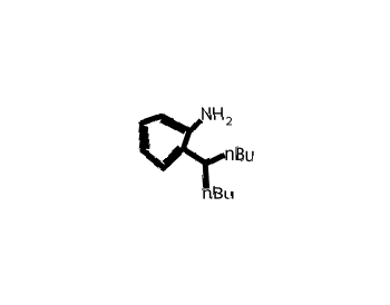 CCCCC(CCCC)c1ccccc1N